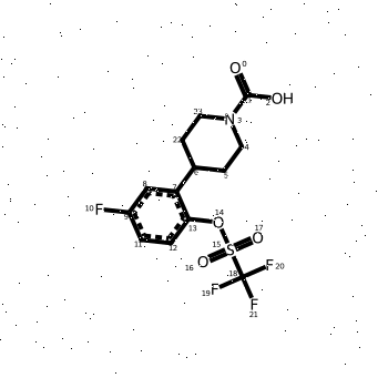 O=C(O)N1CCC(c2cc(F)ccc2OS(=O)(=O)C(F)(F)F)CC1